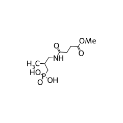 COC(=O)CCC(=O)NCC(C)CP(=O)(O)O